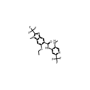 CCSc1cc2c(cc1C(=O)Nc1cc(C(F)(F)F)ncc1NC)nc(C(F)(F)F)n2C